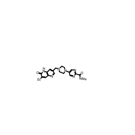 CCc1cc2ncc(CN3CCN(c4cnc(C(=O)NC)nc4)CC3)cc2[nH]c1=O